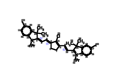 CCCN1/C(=C/C=C2\CCC(/C=C/C3=[N+](CCC)c4ccc(I)cc4C3(C)C)=C2Cl)C(C)(C)c2cc(I)ccc21